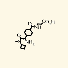 CN(C(=O)[C@@H](N)C1CCC(C(=O)NCCC(=O)O)CC1)C1CCC1